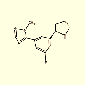 Cn1ncnc1-c1cc(F)cc([C@H]2CCON2)c1